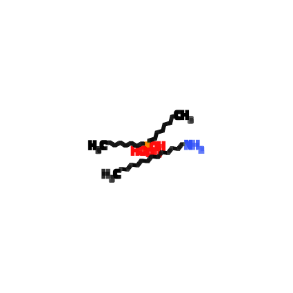 CCCCCCCCCCCCCCN.CCCCCCCCP(O)(O)(O)CCCCCCCC